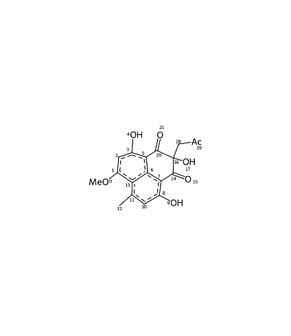 COc1cc(O)c2c3c(c(O)cc(C)c13)C(=O)C(O)(CC(C)=O)C2=O